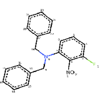 O=[N+]([O-])c1c(F)cccc1N(Cc1ccccc1)Cc1ccccc1